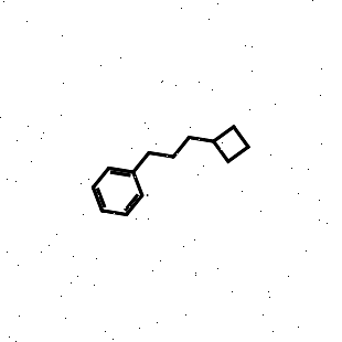 [c]1ccccc1CCCC1CCC1